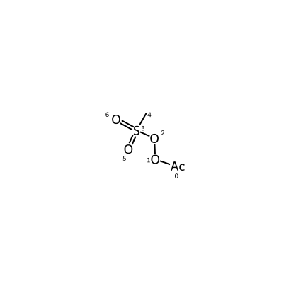 CC(=O)OOS(C)(=O)=O